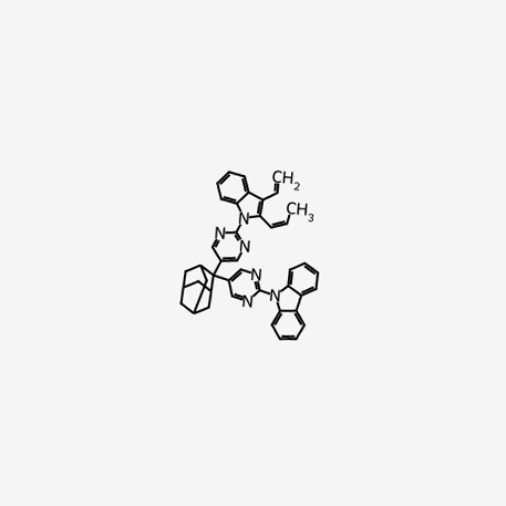 C=Cc1c(/C=C\C)n(-c2ncc(C3(c4cnc(-n5c6ccccc6c6ccccc65)nc4)C4CC5CC(C4)CC3C5)cn2)c2ccccc12